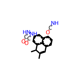 CC1=Cc2cccc3cccc(c23)C1C.N=C=O.N=C=O.N=C=O